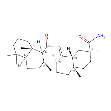 CC1(C)CCC[C@]2(C)[C@H]3C(=O)C=C4[C@@H]5C[C@@](C)(C(N)=O)CC[C@]5(C)CC[C@@]4(C)[C@]3(C)CC[C@@H]12